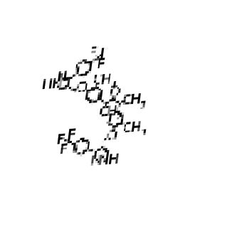 Cc1cc(C(C)C(=O)C(C)c2ccc(OCc3c[nH]nc3-c3ccc(C(F)(F)F)cc3)c(C)c2)ccc1OCc1c[nH]nc1-c1ccc(C(F)(F)F)cc1